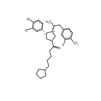 CN(Cc1ccc(C(F)(F)F)c(F)c1)[C@H]1CN(C(=O)CCCCN2CCCC2)C[C@@H]1c1ccc(Cl)c(Cl)c1